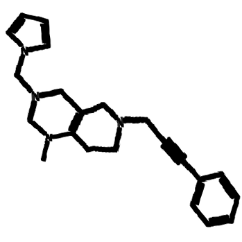 CN1CN(Cn2cccc2)CC2=C1CCN(CC#Cc1ccccc1)C2